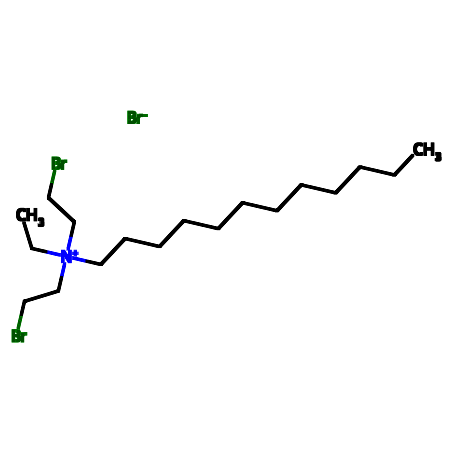 CCCCCCCCCCCC[N+](CC)(CCBr)CCBr.[Br-]